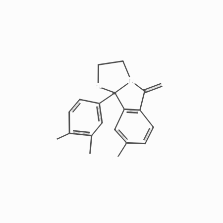 Cc1ccc(C23NCCN2C(=S)c2ccc(Cl)cc23)cc1C